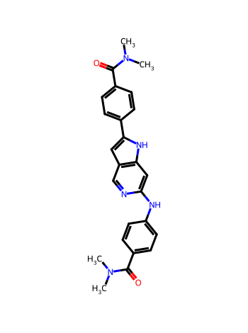 CN(C)C(=O)c1ccc(Nc2cc3[nH]c(-c4ccc(C(=O)N(C)C)cc4)cc3cn2)cc1